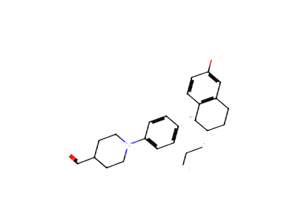 CCC[C@H]1CCc2cc(O)ccc2[C@H]1c1ccc(N2CCC(C=O)CC2)cc1